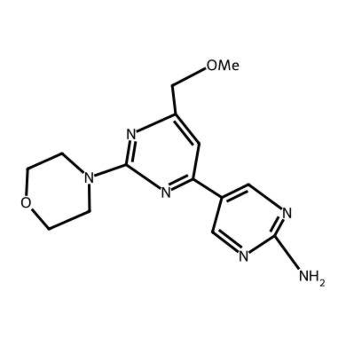 COCc1cc(-c2cnc(N)nc2)nc(N2CCOCC2)n1